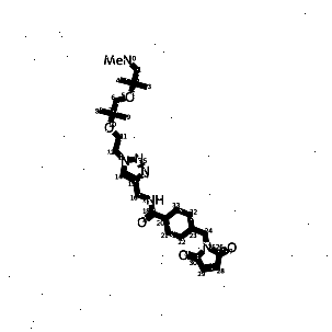 CNCC(C)(C)OCC(C)(C)OCCn1cc(CNC(=O)C2CCC(CN3C(=O)C=CC3=O)CC2)nn1